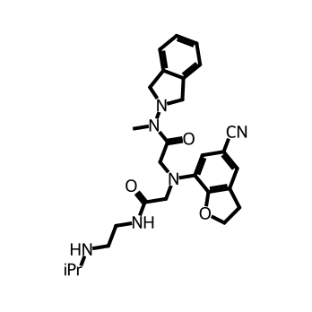 CC(C)NCCNC(=O)CN(CC(=O)N(C)N1Cc2ccccc2C1)c1cc(C#N)cc2c1OCC2